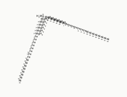 [Fe].[Fe].[Fe].[Fe].[Fe].[Fe].[Fe].[Fe].[Fe].[Fe].[Fe].[Fe].[Fe].[Fe].[Fe].[Fe].[MgH2].[MgH2].[MgH2].[MgH2].[MgH2].[MgH2].[MgH2].[MgH2].[MgH2].[MgH2].[MgH2].[MgH2].[MgH2].[Ni].[Ni].[Ni].[Ni].[Ni].[Ni].[Ni].[Ni].[Ni].[Ni].[Ni].[Ni].[Ni].[Ni].[Ni].[Ni]